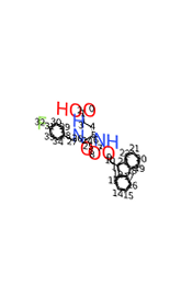 O=C(O)CC[C@H](NC(=O)OCC1c2ccccc2-c2ccccc21)C(=O)NCc1ccc(F)cc1